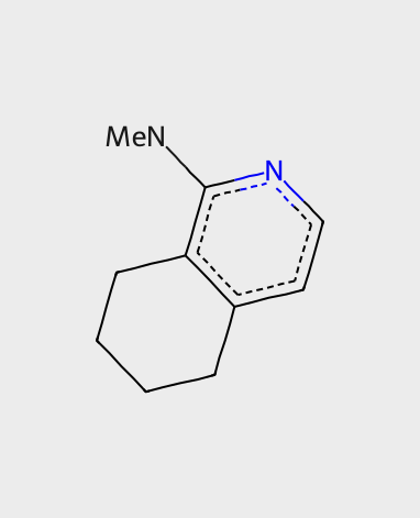 CNc1nccc2c1CCCC2